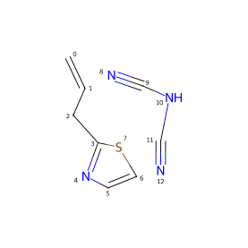 C=CCc1nccs1.N#CNC#N